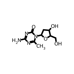 Cc1nc(N)nc(=O)n1C1CC(O)C(CO)O1